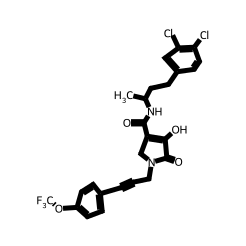 CC(CCc1ccc(Cl)c(Cl)c1)NC(=O)C1=C(O)C(=O)N(CC#Cc2ccc(OC(F)(F)F)cc2)C1